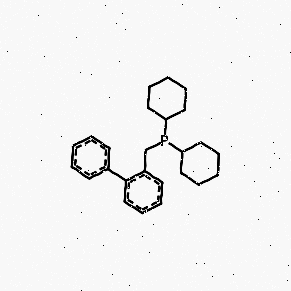 c1ccc(-c2ccccc2CP(C2CCCCC2)C2CCCCC2)cc1